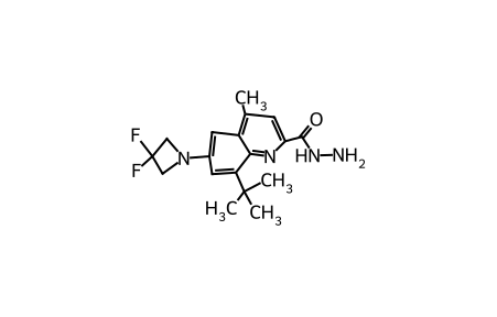 Cc1cc(C(=O)NN)nc2c(C(C)(C)C)cc(N3CC(F)(F)C3)cc12